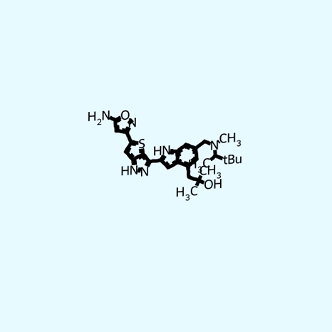 CC(N(C)Cc1cc(CC(C)(C)O)c2cc(-c3n[nH]c4cc(-c5cc(N)on5)sc34)[nH]c2c1)C(C)(C)C